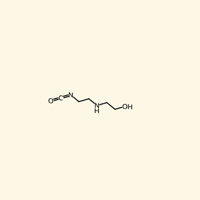 O=C=NCCNCCO